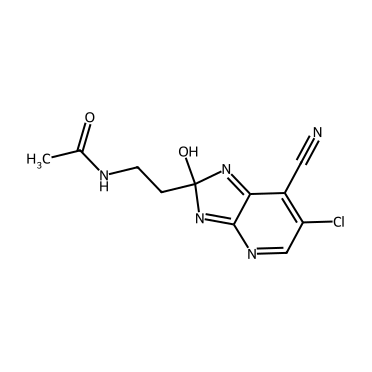 CC(=O)NCCC1(O)N=c2ncc(Cl)c(C#N)c2=N1